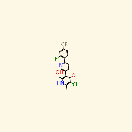 Cc1[nH]c(CO)c(-c2ccc(-c3ccc(C(F)(F)F)cc3F)nc2)c(=O)c1Cl